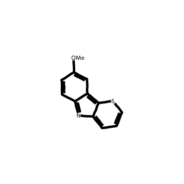 COc1ccc2nc3cccsc-3c2c1